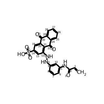 C=CC(=O)Nc1cccc(NNc2cc(S(=O)(=O)O)cc3c2C(=O)c2ccccc2C3=O)c1